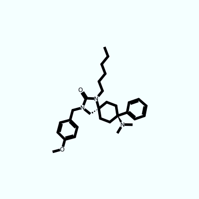 CCCCCCN1C(=O)N(Cc2ccc(OC)cc2)C[C@]12CC[C@](c1ccccc1)(N(C)C)CC2